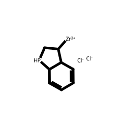 [Cl-].[Cl-].[Zr+2][CH]1CPC2C=CC=CC12